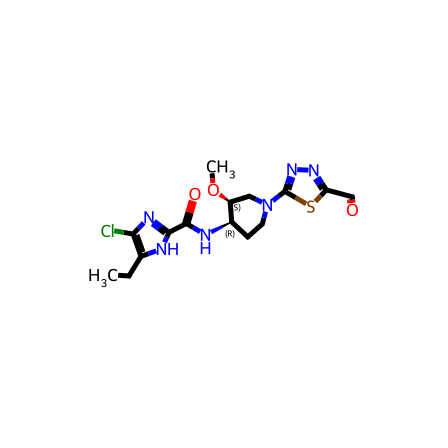 CCc1[nH]c(C(=O)N[C@@H]2CCN(c3nnc(C=O)s3)C[C@@H]2OC)nc1Cl